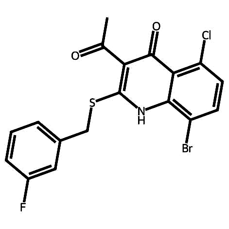 CC(=O)c1c(SCc2cccc(F)c2)[nH]c2c(Br)ccc(Cl)c2c1=O